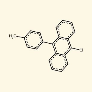 Cc1ccc(-c2c3ccccc3c(Cl)c3ccccc23)cc1